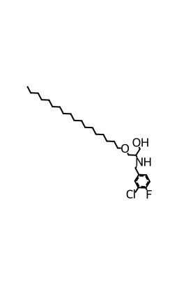 CCCCCCCCCCCCCCCCCCOCC(CO)NCc1ccc(F)c(Cl)c1